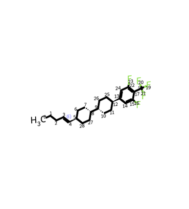 CCC/C=C/[C@H]1CC[C@H]([C@H]2CC[C@H](c3cc(F)c(C(F)(F)F)c(F)c3)CC2)CC1